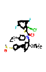 CC[C@H]1CC[C@H](N(Cc2cc(-c3ccc([S+](C)[O-])cc3)ccc2OC)C(=O)c2sc3c(F)ccc(F)c3c2Cl)CC1